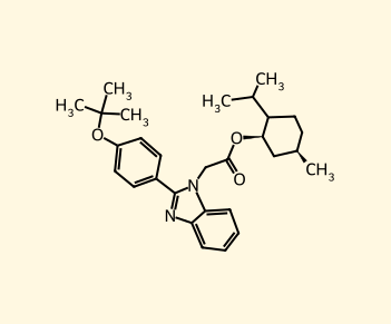 CC(C)C1CC[C@@H](C)C[C@H]1OC(=O)Cn1c(-c2ccc(OC(C)(C)C)cc2)nc2ccccc21